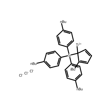 CCCCc1ccc([Si](c2ccc(CCCC)cc2)(c2ccc(CCCC)cc2)[C]2([Ti+3])C=CC=C2C(C)CC)cc1.[Cl-].[Cl-].[Cl-]